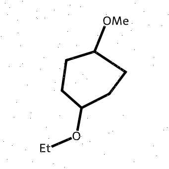 CCOC1CCC(OC)CC1